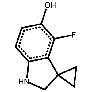 Oc1ccc2c(c1F)C1(CC1)CN2